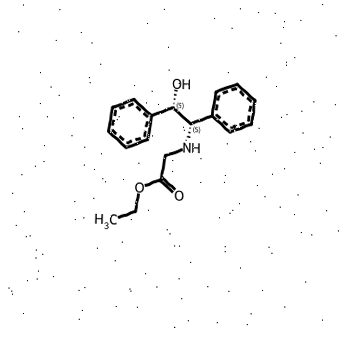 CCOC(=O)CN[C@@H](c1ccccc1)[C@@H](O)c1ccccc1